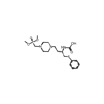 COP(=O)(CN1CCN(CCC(CSc2ccccc2)NC(=O)O)CC1)OC